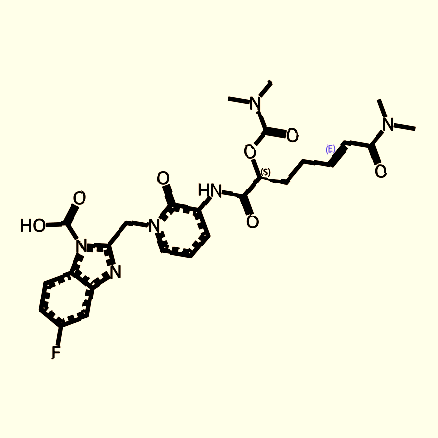 CN(C)C(=O)/C=C/CC[C@H](OC(=O)N(C)C)C(=O)Nc1cccn(Cc2nc3cc(F)ccc3n2C(=O)O)c1=O